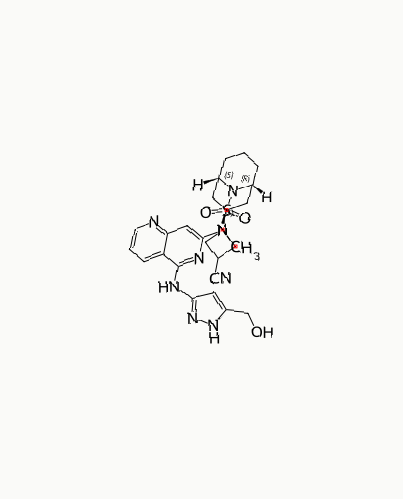 CN(c1cc2ncccc2c(Nc2cc(CO)[nH]n2)n1)[C@@H]1C[C@H]2CCC[C@@H](C1)N2S(=O)(=O)N1CC(C#N)C1